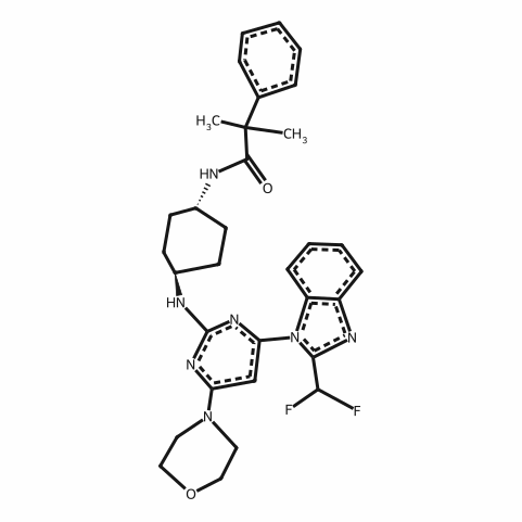 CC(C)(C(=O)N[C@H]1CC[C@H](Nc2nc(N3CCOCC3)cc(-n3c(C(F)F)nc4ccccc43)n2)CC1)c1ccccc1